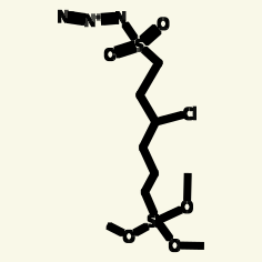 CO[Si](CCCC(Cl)CCS(=O)(=O)N=[N+]=[N-])(OC)OC